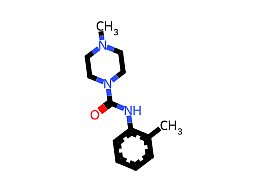 Cc1ccccc1NC(=O)N1CCN(C)CC1